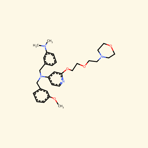 COc1cccc(CN(Cc2cccc(N(C)C)c2)c2ccnc(OCCOCCN3CCOCC3)c2)c1